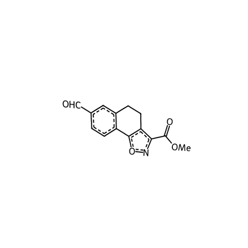 COC(=O)c1noc2c1CCc1cc(C=O)ccc1-2